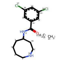 O=C(NC1CCCCNCC1)c1cc(Cl)cc(Cl)c1.[CH2].[CH2]